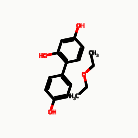 CCOCC.Oc1ccc(-c2ccc(O)cc2O)cc1